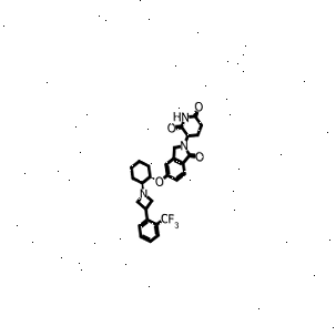 O=C1CCC(N2Cc3cc(O[C@H]4CCCC[C@@H]4N4CC(c5ccccc5C(F)(F)F)C4)ccc3C2=O)C(=O)N1